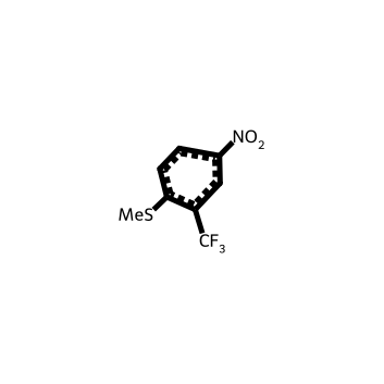 CSc1ccc([N+](=O)[O-])cc1C(F)(F)F